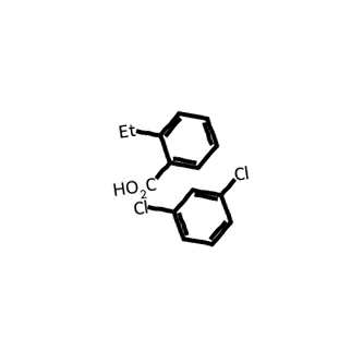 CCc1ccccc1C(=O)O.Clc1cccc(Cl)c1